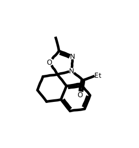 CCC(=O)N1N=C(C)OC12CCCc1ccccc12